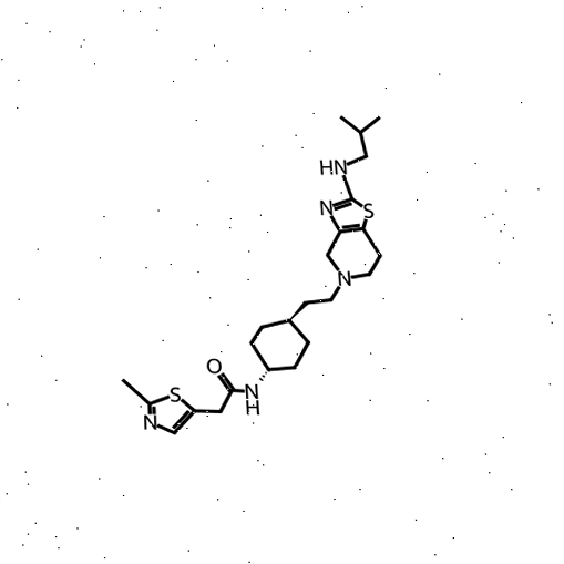 Cc1ncc(CC(=O)N[C@H]2CC[C@H](CCN3CCc4sc(NCC(C)C)nc4C3)CC2)s1